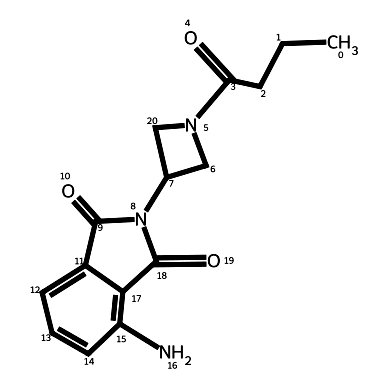 CCCC(=O)N1CC(N2C(=O)c3cccc(N)c3C2=O)C1